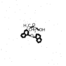 C=C(C)C(=O)OCCO.c1ccc2c(COCc3cccc4ccccc34)cccc2c1